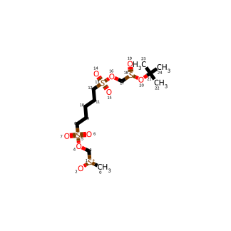 C[S+]([O-])COS(=O)(=O)CCCCCS(=O)(=O)OCS(=O)OC(C)(C)C